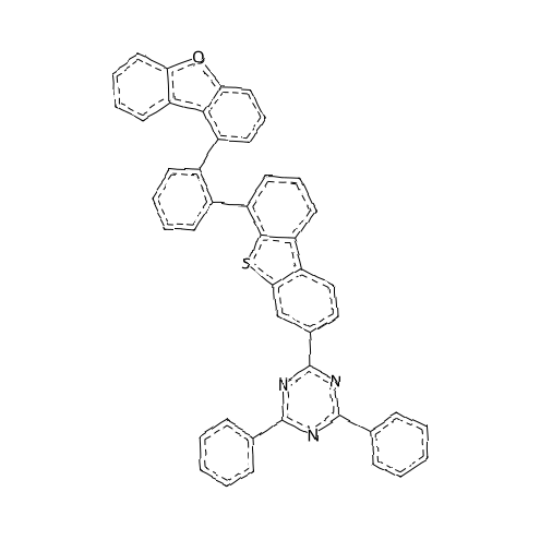 c1ccc(-c2nc(-c3ccccc3)nc(-c3ccc4c(c3)sc3c(-c5ccccc5-c5cccc6oc7ccccc7c56)cccc34)n2)cc1